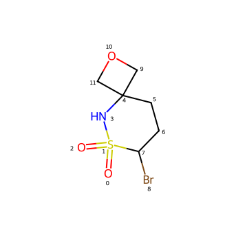 O=S1(=O)NC2(CCC1Br)COC2